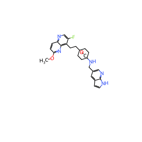 COc1ccc2ncc(F)c(CCC34CCC(NCc5cnc6[nH]ccc6c5)(CC3)CO4)c2n1